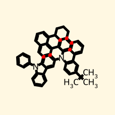 CC(C)(C)c1ccc(N(c2ccc3c(c2)c2ccccc2n3-c2ccccc2)c2ccccc2-c2cccc3cccc(C4CCCCC4)c23)c(-c2ccccc2)c1